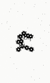 CC1(C)c2cc3ccccc3cc2-c2cccc(-c3cccc(-c4ccc(-c5nc(-c6ccccc6)cc(-c6ccc(-c7ccccc7)cc6)n5)c5ccccc45)c3)c21